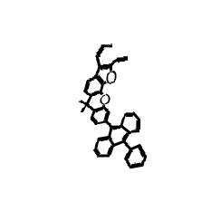 C=Cc1oc2c3c(ccc2c1/C=C\C)C(C)(C)c1ccc(-c2c4ccccc4c(-c4ccccc4)c4ccccc24)cc1O3